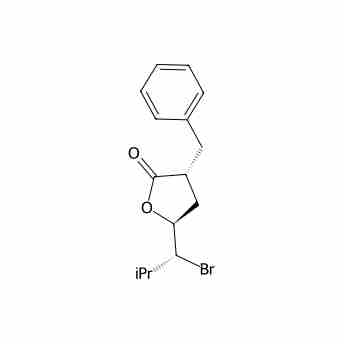 CC(C)[C@@H](Br)[C@@H]1C[C@@H](Cc2ccccc2)C(=O)O1